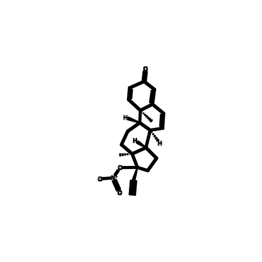 C#C[C@]1(O[N+](=O)[O-])CC[C@H]2[C@@H]3C=CC4=CC(=O)C=C[C@]4(C)[C@H]3CC[C@@]21C